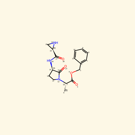 CC(C)[C@@H](C(=O)OCc1ccccc1)N1CC[C@@H](NC(=O)[C@H]2CN2)C1=O